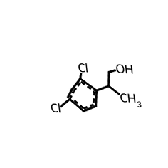 CC(CO)c1ccc(Cl)cc1Cl